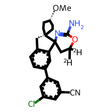 [2H]C1([2H])CC2(N=C(N)O1)c1cc(-c3cc(Cl)cc(C#N)c3)ccc1C[C@]21CC[C@@H](OC)CC1